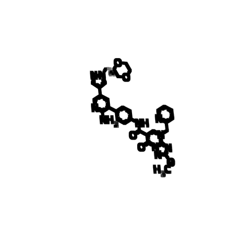 COc1nc2n(Cc3ccccn3)cc(C(=O)Nc3ccc(-c4cc(-c5cnn(C[C@H]6COCCO6)c5)cnc4N)cc3)c(=O)n2n1